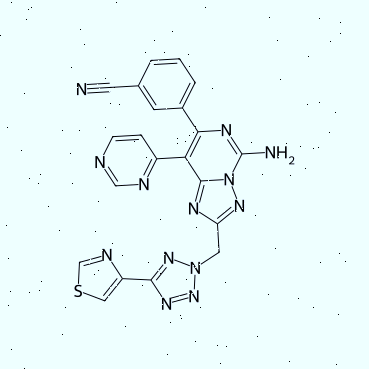 N#Cc1cccc(-c2nc(N)n3nc(Cn4nnc(-c5cscn5)n4)nc3c2-c2ccncn2)c1